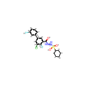 O=C(NNS(=O)(=O)C1CCCCC1)c1cc(-c2cccc(F)c2)cc(Cl)c1F